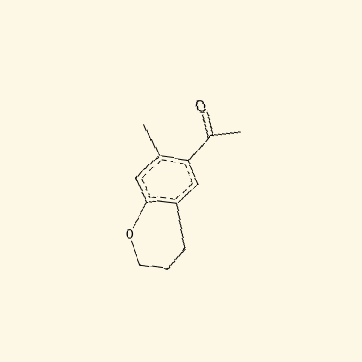 CC(=O)c1cc2c(cc1C)OCCC2